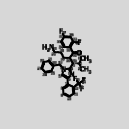 CC(C)[C@H](c1nc(-c2ccccc2C(F)(F)F)cn1Cc1ccccc1)C(CCCN)C(=O)c1ccc(F)cc1F